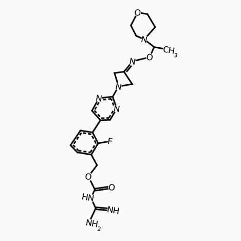 CC(ON=C1CN(c2ncc(-c3cccc(COC(=O)NC(=N)N)c3F)cn2)C1)N1CCOCC1